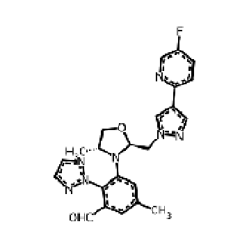 Cc1cc(C=O)c(-n2nccn2)c(N2[C@H](C)CO[C@H]2Cn2cc(-c3ccc(F)cn3)cn2)c1